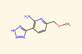 COCc1ccc(-c2nn[nH]n2)c(N)n1